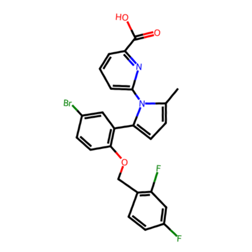 Cc1ccc(-c2cc(Br)ccc2OCc2ccc(F)cc2F)n1-c1cccc(C(=O)O)n1